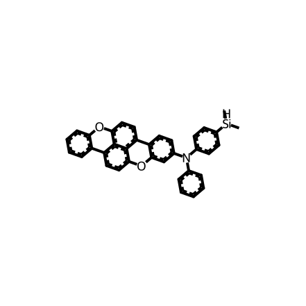 C[SiH](C)c1ccc(N(c2ccccc2)c2ccc3c(c2)Oc2ccc4c5c(ccc-3c25)Oc2ccccc2-4)cc1